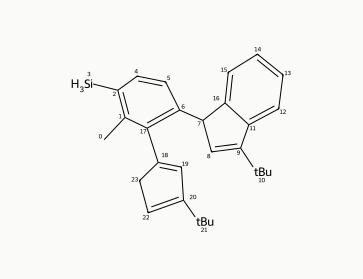 Cc1c([SiH3])ccc(C2C=C(C(C)(C)C)c3ccccc32)c1C1=CC(C(C)(C)C)=CC1